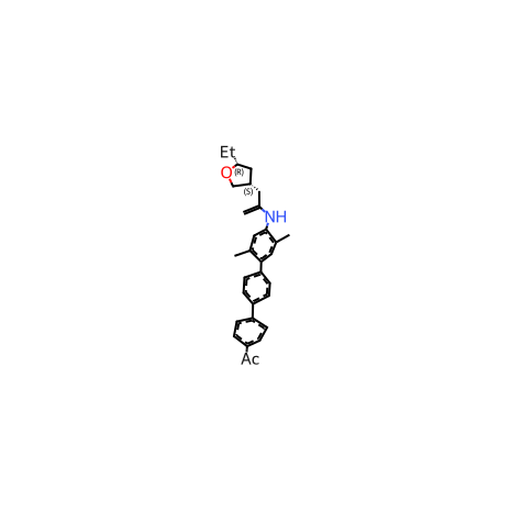 C=C(C[C@@H]1CO[C@H](CC)C1)Nc1cc(C)c(-c2ccc(-c3ccc(C(C)=O)cc3)cc2)cc1C